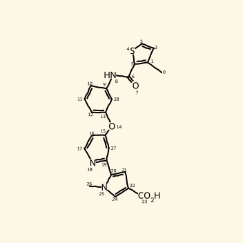 Cc1ccsc1C(=O)Nc1cccc(Oc2ccnc(-c3cc(C(=O)O)cn3C)c2)c1